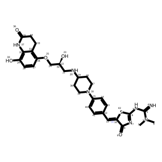 CN(C)C(=N)NC1=NC(=O)/C(=C/c2ccc(N3CCC(NC[C@H](O)COc4ccc(O)c5c4CCC(=O)N5)CC3)cc2)S1